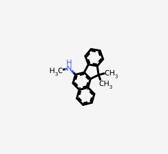 CNc1cc2ccccc2c2c1-c1ccccc1C2(C)C